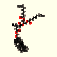 CCCCCCCCCCCCCCCC(=O)OCC(COC(=O)CCCCCCCCCCCCCCC)OC(=O)CC(C)CC(=O)OCO[C@@H]1CC[C@@]2(C)[C@@H](CC[C@@H]3[C@@H]2CC[C@]2(C)[C@@H](C(C)=O)CC[C@@H]32)C1